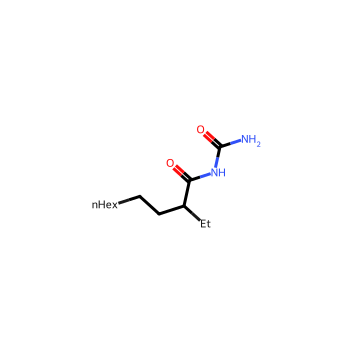 CCCCCCCCC(CC)C(=O)NC(N)=O